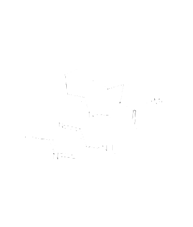 COC(=O)C1(CN(c2nc(Cl)ncc2N)C2CCCC2)CC1